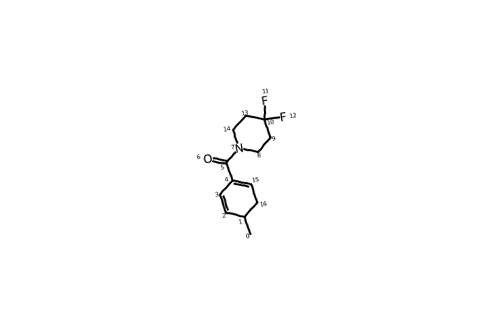 CC1C=CC(C(=O)N2CCC(F)(F)CC2)=CC1